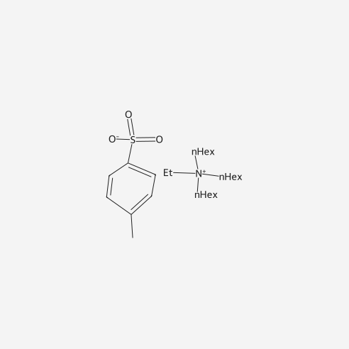 CCCCCC[N+](CC)(CCCCCC)CCCCCC.Cc1ccc(S(=O)(=O)[O-])cc1